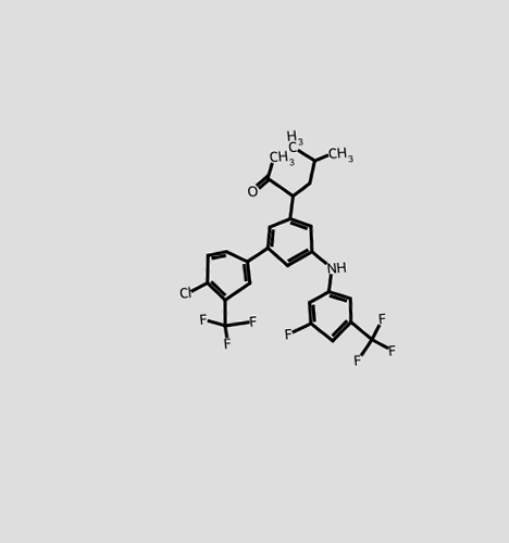 CC(=O)C(CC(C)C)c1cc(Nc2cc(F)cc(C(F)(F)F)c2)cc(-c2ccc(Cl)c(C(F)(F)F)c2)c1